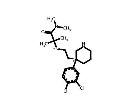 CN(C)C(=O)C(C)(C)NCC[C@]1(c2ccc(Cl)c(Cl)c2)CCCNC1